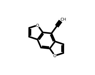 C#Cc1c2ccoc2cc2ccoc12